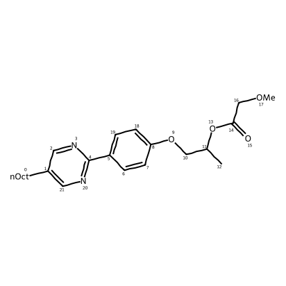 CCCCCCCCc1cnc(-c2ccc(OCC(C)OC(=O)COC)cc2)nc1